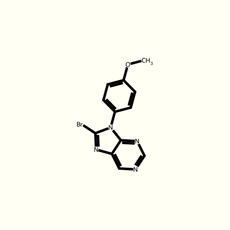 COc1ccc(-n2c(Br)nc3cncnc32)cc1